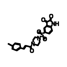 Cc1ccc(/C=C/C(=O)N2CCN(S(=O)(=O)c3ccc4c(c3)C(=O)C(=O)N4)CC2)cc1